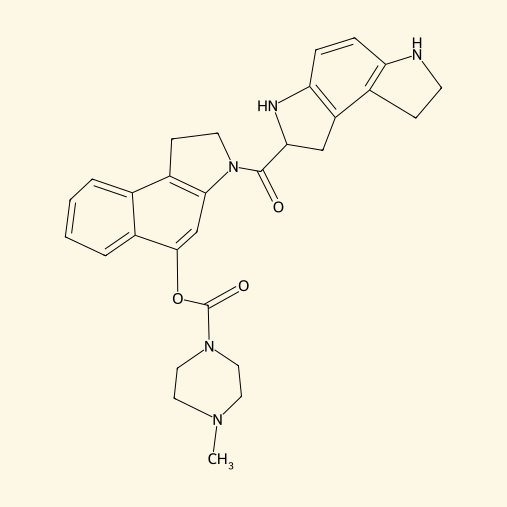 CN1CCN(C(=O)Oc2cc3c(c4ccccc24)CCN3C(=O)C2Cc3c(ccc4c3CCN4)N2)CC1